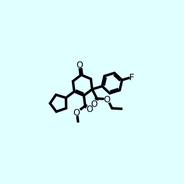 CCOC(=O)C1(c2ccc(F)cc2)CC(=O)CC(C2CCCC2)=C1C(=O)OC